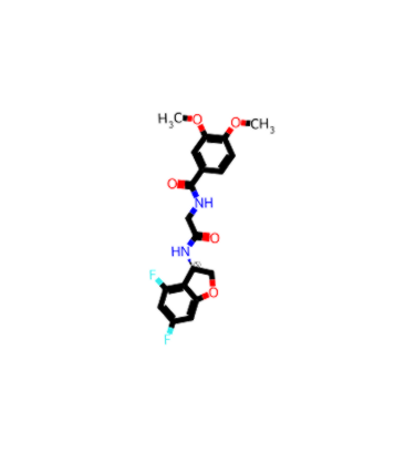 COc1ccc(C(=O)NCC(=O)N[C@@H]2COc3cc(F)cc(F)c32)cc1OC